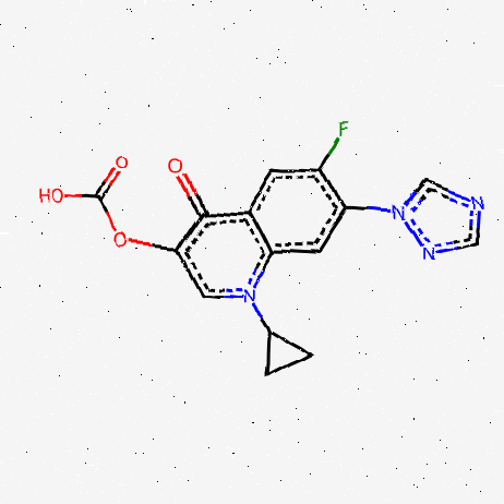 O=C(O)Oc1cn(C2CC2)c2cc(-n3cncn3)c(F)cc2c1=O